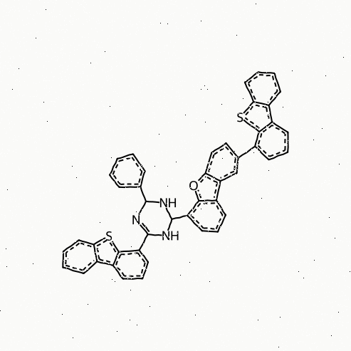 c1ccc(C2N=C(c3cccc4c3sc3ccccc34)NC(c3cccc4c3oc3ccc(-c5cccc6c5sc5ccccc56)cc34)N2)cc1